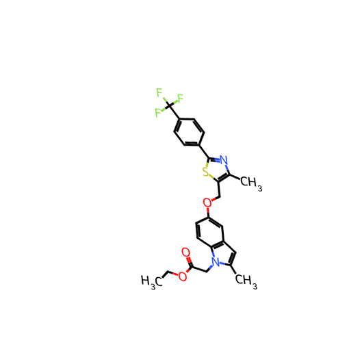 CCOC(=O)Cn1c(C)cc2cc(OCc3sc(-c4ccc(C(F)(F)F)cc4)nc3C)ccc21